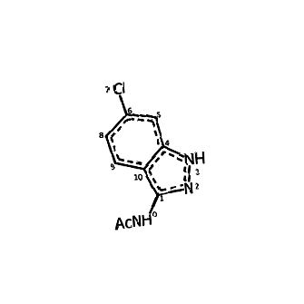 CC(=O)Nc1n[nH]c2cc(Cl)ccc12